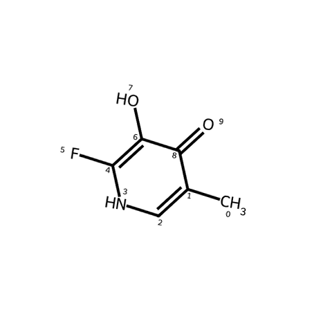 Cc1c[nH]c(F)c(O)c1=O